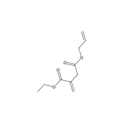 C=CCOC(=O)CC(=C)C(=O)OCC